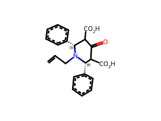 C=CCN1[C@H](c2ccccc2)C(C(=O)O)C(=O)C(C(=O)O)[C@@H]1c1ccccc1